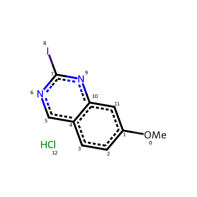 COc1ccc2cnc(I)nc2c1.Cl